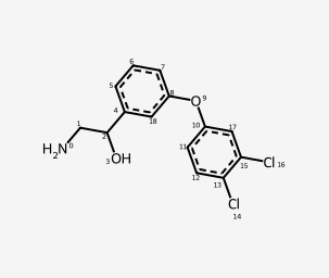 NCC(O)c1cccc(Oc2ccc(Cl)c(Cl)c2)c1